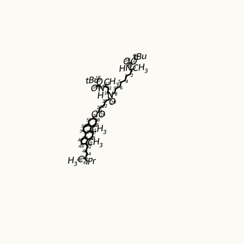 CC(CCCCCCCN(CCC(C)NC(=O)OC(C)(C)C)C(=O)CCCC(=O)OC1CCC2(C)C(=CCC3C2CCC2(C)C(CCCC(C)C(C)C)CCC32)C1)NC(=O)OC(C)(C)C